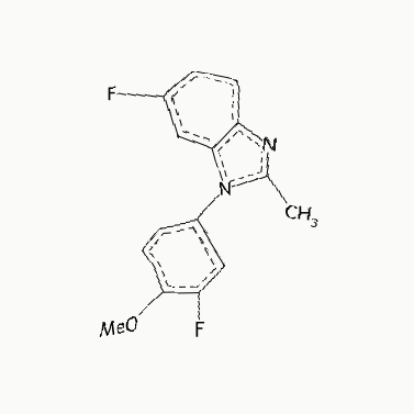 COc1ccc(-n2c(C)nc3ccc(F)cc32)cc1F